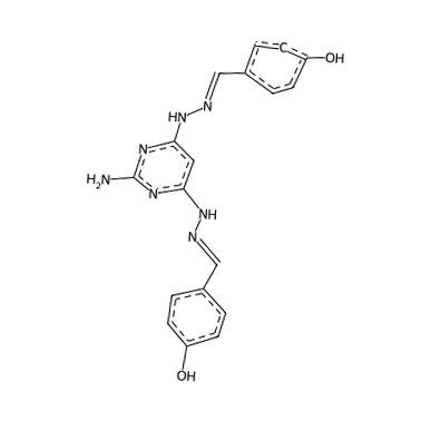 Nc1nc(NN=Cc2ccc(O)cc2)cc(NN=Cc2ccc(O)cc2)n1